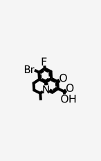 CC1CCc2c(Br)c(F)cc3c(=O)c(C(=O)O)cn1c23